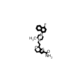 C[C@@H]1CN(c2ccc(F)c3ccccc23)CCN1CCC1OCCc2cc(C(N)=O)sc21